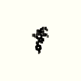 CCn1c(Oc2ccc(F)cc2)nnc1[C@@H](C)NS(=O)(=O)CC